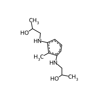 Cc1c(NCC(C)O)cccc1NCC(C)O